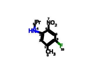 Cc1cc(NC(C)C)c([N+](=O)[O-])cc1F